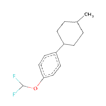 CC1CCC(c2ccc(OC(F)F)cc2)CC1